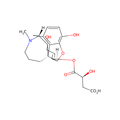 CN1CCC[C@]23c4c5ccc(O)c4O[C@H]2C(OC(=O)[C@@H](O)CC(=O)O)=CC[C@@]3(O)[C@H]1C5